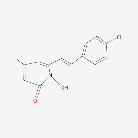 Cc1cc(/C=C/c2ccc(Cl)cc2)n(O)c(=O)c1